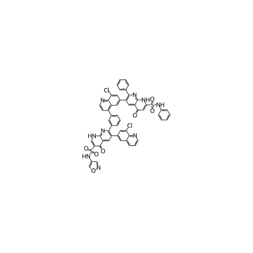 O=c1cc(S(=O)(=O)Nc2ccccc2)[nH]c2nc(-c3ccccc3)c(-c3cc(Cl)c4nccc(-c5cccc(-c6nc7[nH]cc(S(=O)(=O)Nc8cnoc8)c(=O)c7cc6-c6cc(Cl)c7ncccc7c6)c5)c4c3)cc12